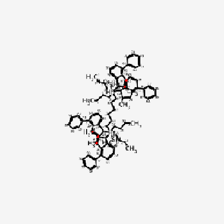 CCC[CH2][Hf]([CH2]CCC)([CH2]CCCC[CH2][Hf]([CH2]CCC)([CH2]CCC)([SiH2]C)([CH]1C(C)=Cc2c(-c3ccccc3)cccc21)[CH]1C(C)=Cc2c(-c3ccccc3)cccc21)([SiH2]C)([CH]1C(C)=Cc2c(-c3ccccc3)cccc21)[CH]1C(C)=Cc2c(-c3ccccc3)cccc21